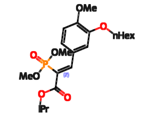 CCCCCCOc1cc(/C=C(/C(=O)OC(C)C)P(=O)(OC)OC)ccc1OC